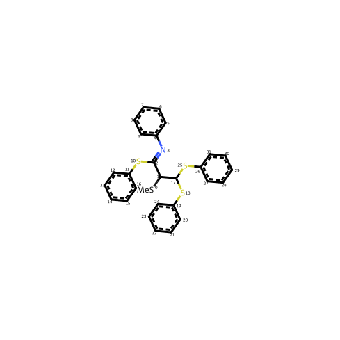 CSC(C(=Nc1ccccc1)Sc1ccccc1)C(Sc1ccccc1)Sc1ccccc1